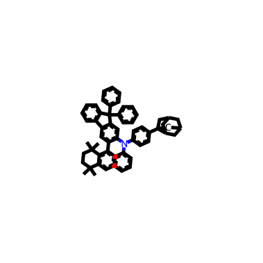 CC1(C)CCC(C)(C)c2c(-c3cc4c(cc3N(c3ccccc3)c3ccc(C56CC7CC(CC5C7)C6)cc3)C(c3ccccc3)(c3ccccc3)c3ccccc3-4)cccc21